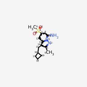 Cc1nn2c(N)cc(S(C)(=O)=O)cc2c1CC1CCC1